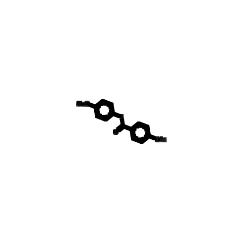 COc1ccc(SC(=O)c2ccc(OC(C)=O)cc2)cc1